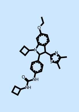 CCOc1ccc2c(c1)N(C1CCC1)C(c1ccc(NC(=O)NC3CCC3)cc1)C2c1nc(C)c(C)s1